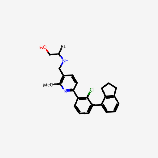 CCC(CO)NCc1ccc(-c2cccc(-c3cccc4c3CCC4)c2Cl)nc1OC